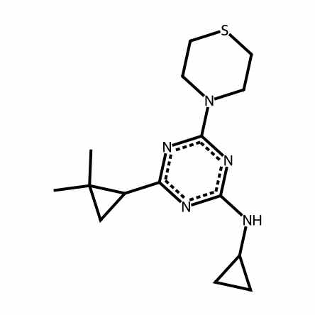 CC1(C)CC1c1nc(NC2CC2)nc(N2CCSCC2)n1